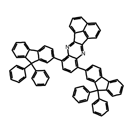 c1ccc(C2(c3ccccc3)c3ccccc3-c3ccc(-c4ccc(-c5ccc6c(c5)C(c5ccccc5)(c5ccccc5)c5ccccc5-6)c5nc6c(nc45)-c4cccc5cccc-6c45)cc32)cc1